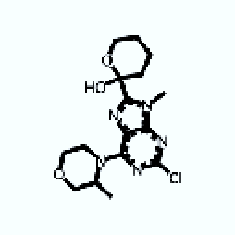 CC1COCCN1c1nc(Cl)nc2c1nc(C1(O)CCCCO1)n2C